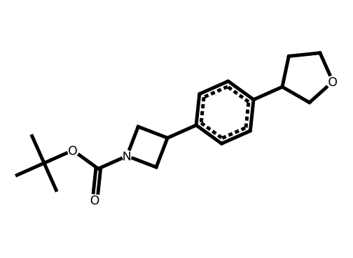 CC(C)(C)OC(=O)N1CC(c2ccc(C3CCOC3)cc2)C1